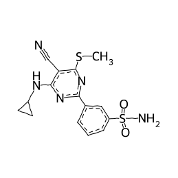 CSc1nc(-c2cccc(S(N)(=O)=O)c2)nc(NC2CC2)c1C#N